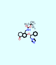 CC(C)(C)OC(=O)NCc1c(OC(Cn2ccnc2)c2ccccc2)ccc2c1CCCC2=O